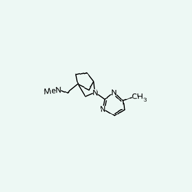 CNCC12CCC(C1)N(c1nccc(C)n1)C2